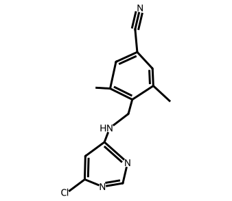 Cc1cc(C#N)cc(C)c1CNc1cc(Cl)ncn1